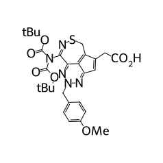 COc1ccc(Cn2nc3cc(CC(=O)O)c4c-3c(n2)C(N(C(=O)OC(C)(C)C)C(=O)OC(C)(C)C)=NSC4)cc1